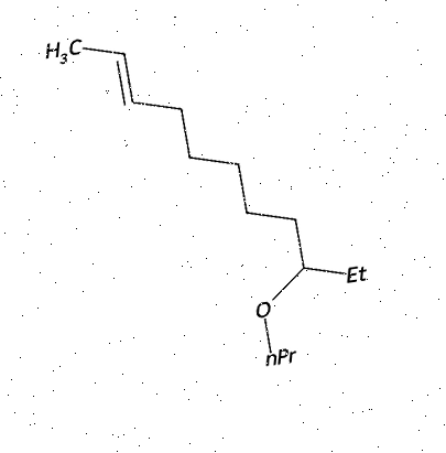 C/C=C/CCCCCC(CC)OCCC